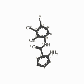 Nc1ccccc1C(=O)Nc1ccc(Cl)c(Cl)c1Cl